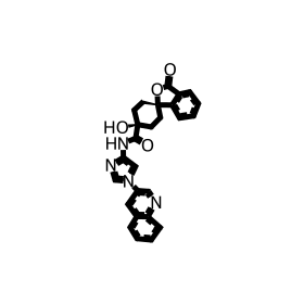 O=C1O[C@]2(CC[C@@](O)(C(=O)Nc3cn(-c4cnc5ccccc5c4)cn3)CC2)c2ccccc21